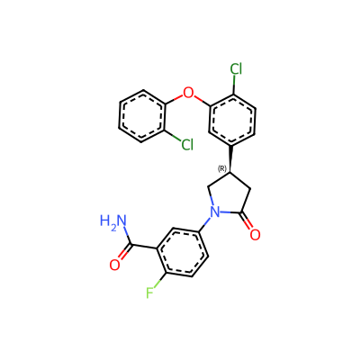 NC(=O)c1cc(N2C[C@@H](c3ccc(Cl)c(Oc4ccccc4Cl)c3)CC2=O)ccc1F